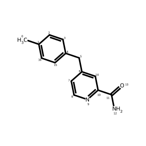 Cc1ccc(Cc2ccnc(C(N)=O)c2)cc1